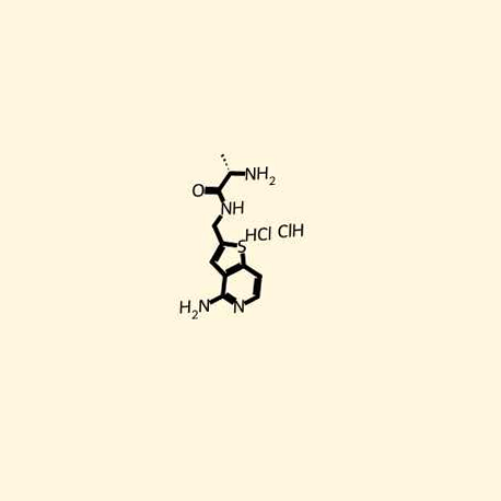 C[C@H](N)C(=O)NCc1cc2c(N)nccc2s1.Cl.Cl